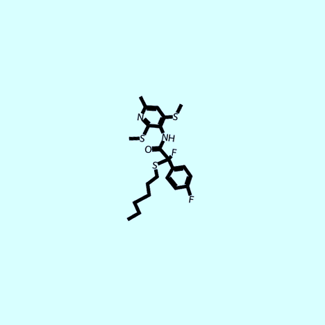 CCCCCCSC(F)(C(=O)Nc1c(SC)cc(C)nc1SC)c1ccc(F)cc1